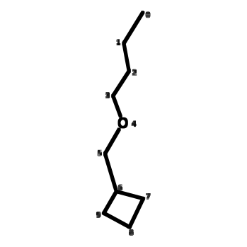 CCCCOCC1CCC1